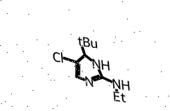 CCNC1=NC=C(Cl)C(C(C)(C)C)N1